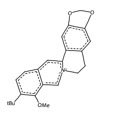 COc1c(C(C)(C)C)ccc2cc3[n+](cc12)CCc1cc2c(cc1-3)OCO2